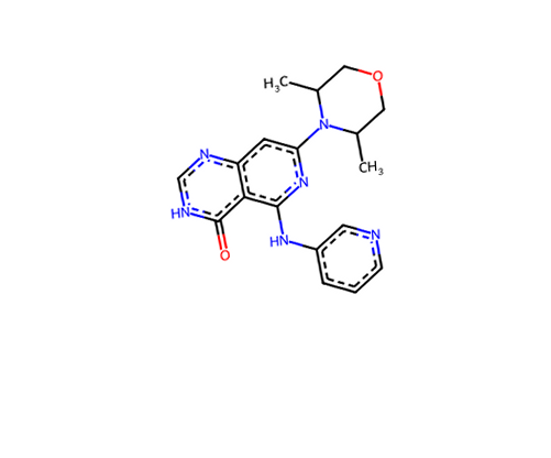 CC1COCC(C)N1c1cc2nc[nH]c(=O)c2c(Nc2cccnc2)n1